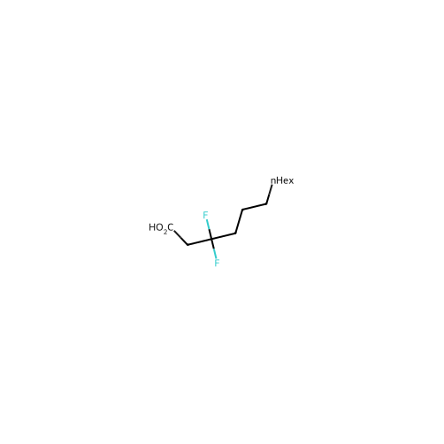 CCCCCCCCCC(F)(F)CC(=O)O